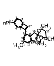 CCCc1ccc2c(c1)C(c1cc(C)cc(C)c1CC1(CN)OC(C)CC(C)O1)=C2